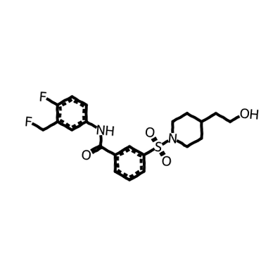 O=C(Nc1ccc(F)c(CF)c1)c1cccc(S(=O)(=O)N2CCC(CCO)CC2)c1